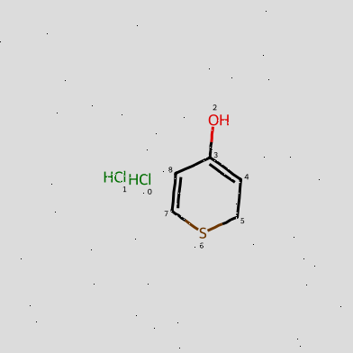 Cl.Cl.OC1=CCSC=C1